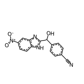 N#Cc1ccc(C(O)c2nc3cc([N+](=O)[O-])ccc3[nH]2)cc1